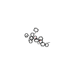 CCOc1ccc(Cc2cc([C@]34OC[C@](C5CO5)(O3)[C@@H](C)[C@H](OCc3ccccc3)[C@H]4OCc3ccccc3)ccc2Cl)cc1